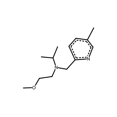 COCCN(Cc1ccc(C)cn1)C(C)C